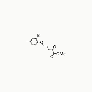 COC(=O)C(=O)CCCOc1ccc(C)cc1Br